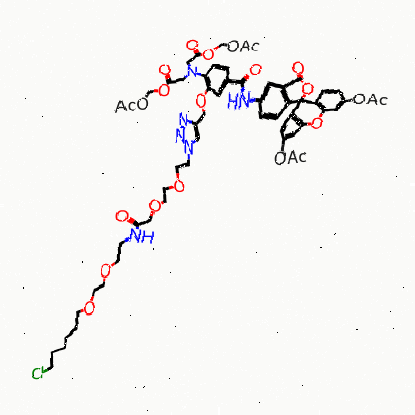 CC(=O)OCOC(=O)CN(CC(=O)OCOC(C)=O)c1ccc(C(=O)Nc2ccc3c(c2)C(=O)OC32c3ccc(OC(C)=O)cc3Oc3cc(OC(C)=O)ccc32)cc1OCc1cn(CCOCCOCC(=O)NCCOCCOCCCCCCCl)nn1